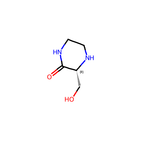 O=C1NCCN[C@@H]1CO